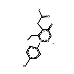 CCc1c(CC(=O)[O-])c(=O)cnn1-c1ccc(Br)cc1.[K+]